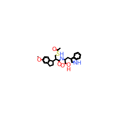 COc1ccc2c(c1)CCC2C(CSC(C)=O)C(=O)NC(Cc1c[nH]c2ccccc12)C(=O)O